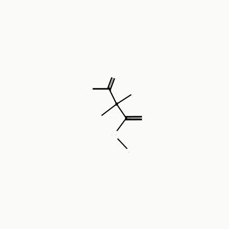 CC(C)(C(=O)OC(F)(F)F)C(=O)C(F)(F)F